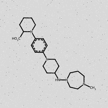 CN1CCCN(NC2CCN(c3ccc(N4CCCCC4C(=O)O)cc3)CC2)CC1